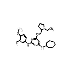 CCN1CCCC1COc1nc(Nc2ccc(OC)c(CI)c2)nc(NC2CCCCCC2)n1